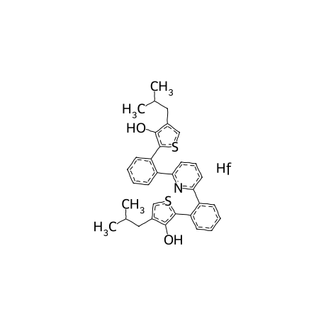 CC(C)Cc1csc(-c2ccccc2-c2cccc(-c3ccccc3-c3scc(CC(C)C)c3O)n2)c1O.[Hf]